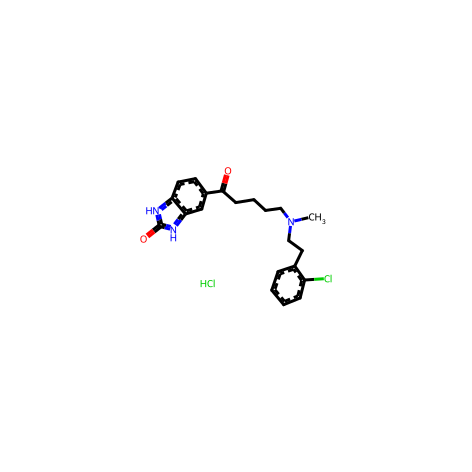 CN(CCCCC(=O)c1ccc2[nH]c(=O)[nH]c2c1)CCc1ccccc1Cl.Cl